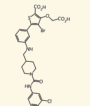 O=C(O)COc1c(C(=O)O)sc(-c2cccc(NCC3CCN(C(=O)Nc4cccc(Cl)c4)CC3)c2)c1Br